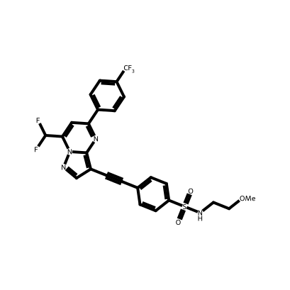 COCCNS(=O)(=O)c1ccc(C#Cc2cnn3c(C(F)F)cc(-c4ccc(C(F)(F)F)cc4)nc23)cc1